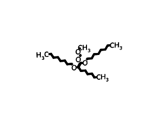 CCCCCCCCOC(CCCCCC)=C(OCCCCCCCC)OCOC